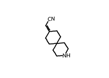 N#CC=C1CCC2(CCNCC2)CC1